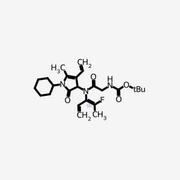 C=CC1=C(C)N(C2CCCCC2)C(=O)C1N(C(=O)CNC(=O)OC(C)(C)C)/C(C=C)=C(/C)F